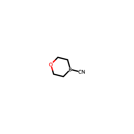 N#CB1CCOCC1